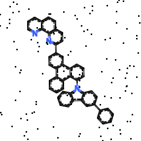 c1ccc(-c2ccc3c(c2)c2ccccc2n3-c2cccc3c4cc(-c5ccc6ccc7cccnc7c6n5)ccc4c4ccccc4c23)cc1